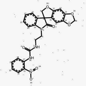 O=C(NCCN1C(=O)C2(COc3cc4c(cc32)OCO4)c2ccccc21)Nc1ccccc1[N+](=O)[O-]